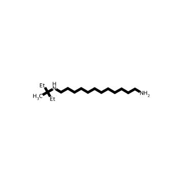 CCC(C)(CC)NCCCCCCCCCCCCN